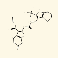 CCOC(=O)c1c(NC(=O)NCc2c(C(F)(F)F)sc3c2CCCC3)sc2c1CCC(C)C2